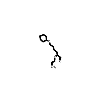 CCCSC([C]=O)CCCCOC1CC[CH]CC1